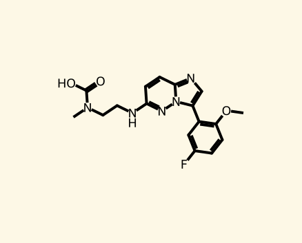 COc1ccc(F)cc1-c1cnc2ccc(NCCN(C)C(=O)O)nn12